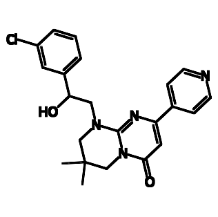 CC1(C)CN(CC(O)c2cccc(Cl)c2)c2nc(-c3ccncc3)cc(=O)n2C1